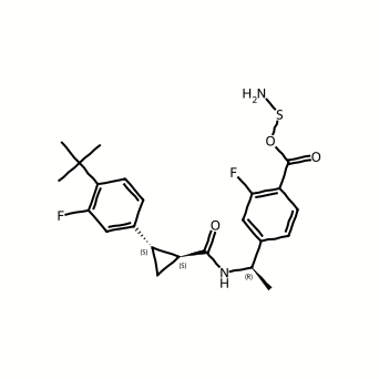 C[C@@H](NC(=O)[C@H]1C[C@@H]1c1ccc(C(C)(C)C)c(F)c1)c1ccc(C(=O)OSN)c(F)c1